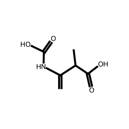 C=C(NC(=O)O)C(C)C(=O)O